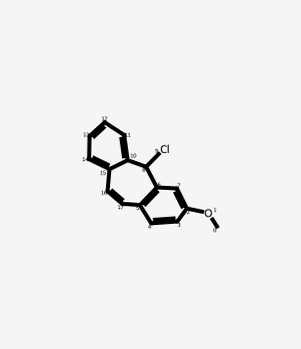 COc1ccc2c(c1)C(Cl)c1ccccc1C=C2